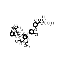 CC1COc2ccccc2N1C(=O)C(Cl)Cl.CCc1cccc(C)c1N(C(=O)CCl)C(C)COC.C[C@H](OC(=O)c1cc(Oc2ccc(C(F)(F)F)cc2Cl)ccc1Cl)C(=O)O